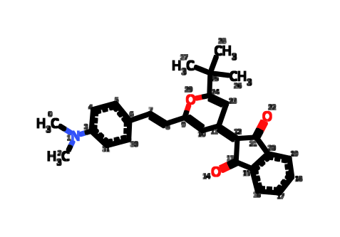 CN(C)c1ccc(C=CC2=CC(=C3C(=O)c4ccccc4C3=O)C=C(C(C)(C)C)O2)cc1